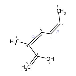 C=C(O)/C(C)=C\C=C/C